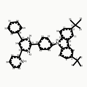 CC(C)(C)c1ccc2c(c1)c1cc(C(C)(C)C)ccc1n2-c1ccc(-c2nc(-c3ccccc3)cc(-c3ccccn3)n2)cc1